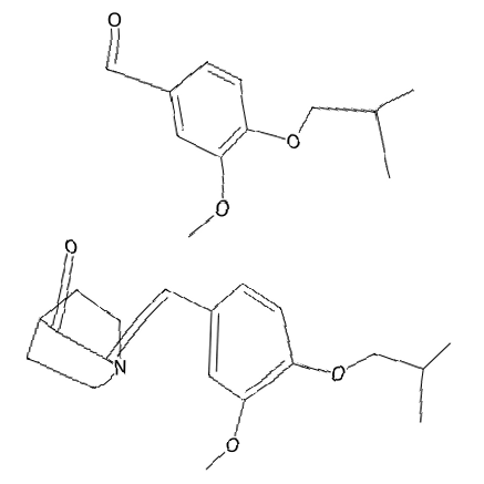 COc1cc(C=C2C(=O)C3CCN2CC3)ccc1OCC(C)C.COc1cc(C=O)ccc1OCC(C)C